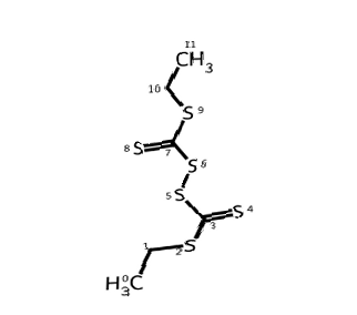 CCSC(=S)SSC(=S)SCC